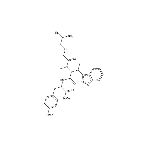 CCC(N)COCC(=O)N(C)C(C(=O)NC(Cc1ccc(OC)cc1)C(=O)NC)C(C)c1csc2ccccc12